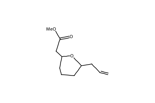 C=CCC1CCCC(CC(=O)OC)O1